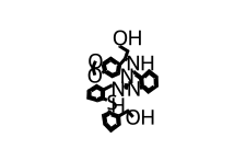 OCCC(Nc1nc(NCc2ccccc2Sc2ccccc2CO)nc2ccccc12)c1ccc2c(c1)OCO2